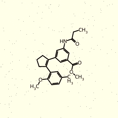 CCC(=O)Nc1cc(C(=O)OC)cc(C2=C(c3cc(C)ccc3OC)CCC2)c1